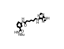 CCCCNC(=O)c1cccc(NC(=O)CCCCCNc2ncnc3[nH]cnc23)c1